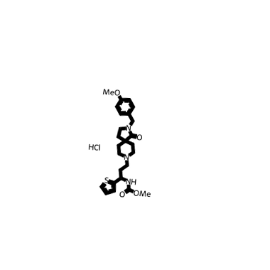 COC(=O)NC(CCN1CCC2(CC1)CCN(Cc1ccc(OC)cc1)C2=O)c1cccs1.Cl